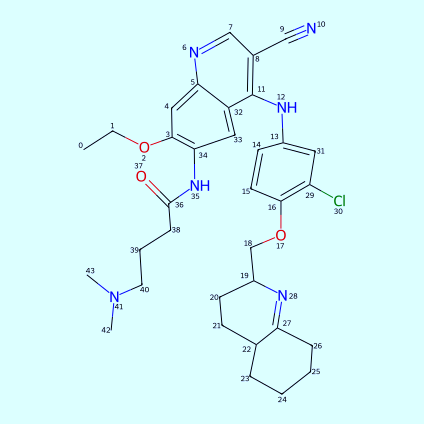 CCOc1cc2ncc(C#N)c(Nc3ccc(OCC4CCC5CCCCC5=N4)c(Cl)c3)c2cc1NC(=O)CCCN(C)C